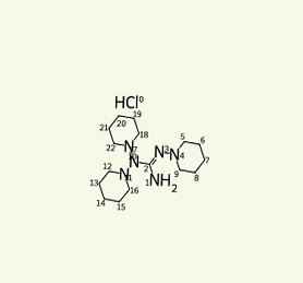 Cl.NC(=NN1CCCCC1)N(N1CCCCC1)N1CCCCC1